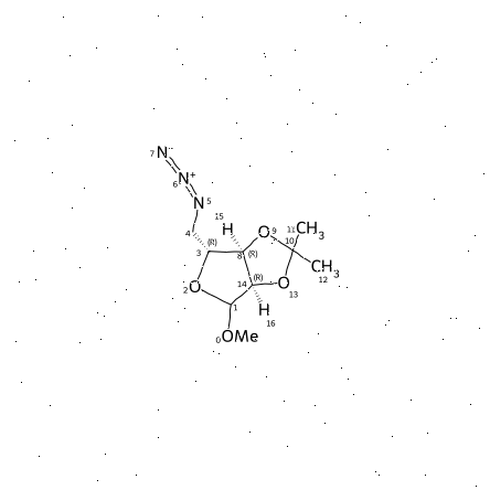 COC1O[C@H](CN=[N+]=[N-])[C@H]2OC(C)(C)O[C@@H]12